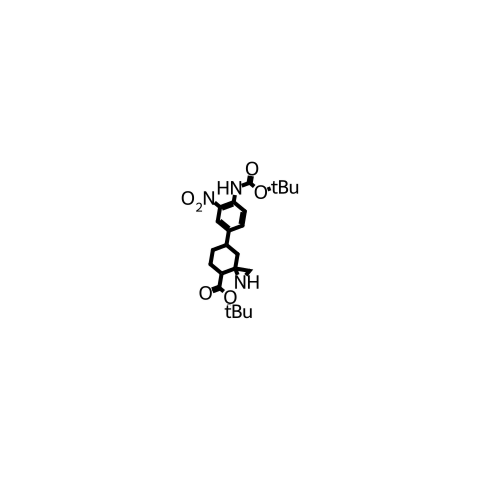 CC(C)(C)OC(=O)Nc1ccc(C2CCC(C(=O)OC(C)(C)C)C3(CN3)C2)cc1[N+](=O)[O-]